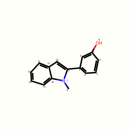 Cn1c(-c2cccc(O)c2)cc2cc[c]cc21